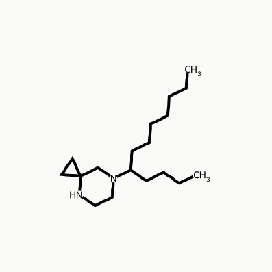 CCCCCCCC(CCCC)N1CCNC2(CC2)C1